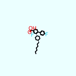 CCCCCCC[C@H]1CC[C@H](c2c(-c3ccc(F)cc3)ccc(C(=O)O)c2F)CC1